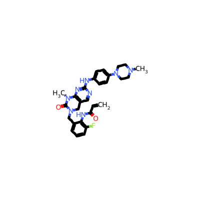 C=CC(=O)Nc1c(F)cccc1CN1Cc2cnc(Nc3ccc(N4CCN(C)CC4)cc3)nc2N(C)C1=O